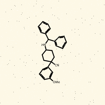 COc1cccc(C2(C#N)CCC(NC(c3ccccc3)c3ccccc3)CC2)c1